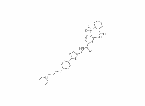 CCN(CC)CCCSc1ccc(-c2ncc(CNC(=O)c3ccc4c(c3)NC(=O)c3ccccc3S4(=O)=O)s2)cc1